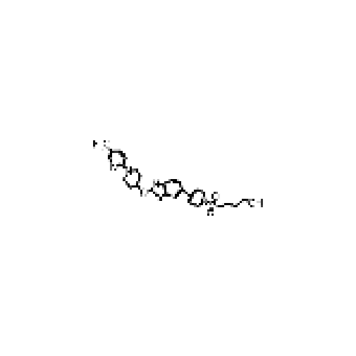 O=S(=O)(CCCCO)N1CC=C(c2ccc3nc(OC4CCN(c5ccc(C(F)(F)F)cn5)CC4)sc3c2)CC1